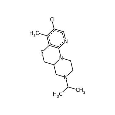 Cc1c(Cl)cnc2c1SCC1CN(C(C)C)CCN21